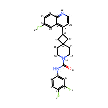 O=C(Nc1ccc(F)c(F)c1)N1CCC2(CC1)CC(c1ccnc3ccc(F)cc13)C2